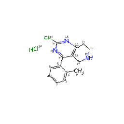 Cc1ccccc1-c1nc(Cl)nc2c1CNCC2.Cl